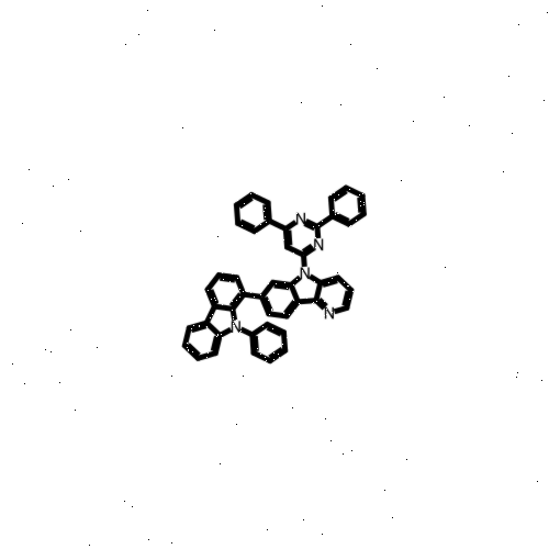 c1ccc(-c2cc(-n3c4cc(-c5cccc6c7ccccc7n(-c7ccccc7)c56)ccc4c4ncccc43)nc(-c3ccccc3)n2)cc1